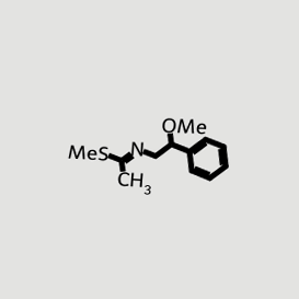 COC(CN=C(C)SC)c1ccccc1